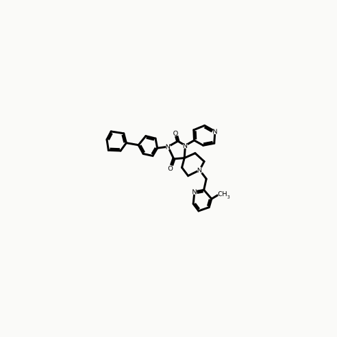 Cc1cccnc1CN1CCC2(CC1)C(=O)N(c1ccc(-c3ccccc3)cc1)C(=O)N2c1ccncc1